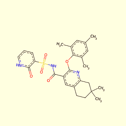 Cc1cc(C)c(Oc2nc3c(cc2C(=O)NS(=O)(=O)c2ccc[nH]c2=O)CCC(C)(C)C3)c(C)c1